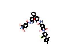 Cc1ccc(-c2ccc(N3C(=O)c4ccc(C(=O)Nc5ccc(C6(c7ccc(NC(=O)c8ccc9c(c8)C(=O)N(C)C9=O)c(C)c7)CCCCC6)cc5C)cc4C3=O)cc2C(F)(F)F)c(C)c1